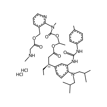 CC[C@@H](CC(=O)OC(C)OC(=O)N(C)c1ncccc1COC(=O)CNC)c1ccc(N(CC(C)C)CC(C)C)c(NC(=O)Nc2ccc(C)cc2)c1.Cl.Cl